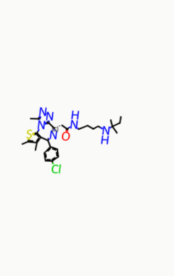 CCC(C)(C)NCCCCNC(=O)C[C@@H]1N=C(c2ccc(Cl)cc2)c2c(sc(C)c2C)-n2c(C)nnc21